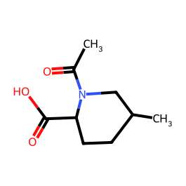 CC(=O)N1CC(C)CCC1C(=O)O